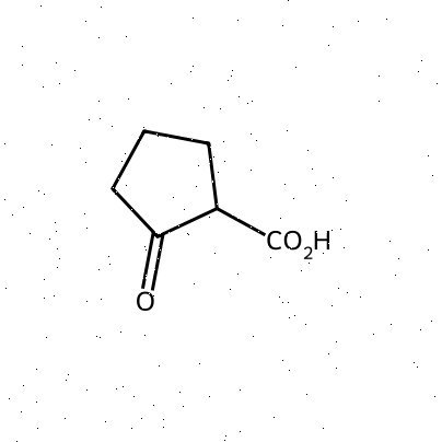 O=C(O)C1CCCC1=O